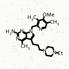 CCN1CCN(CCCc2cn(Cc3ncc(C)c(OC)c3C)c3nc(N)nc(C)c23)CC1